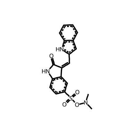 CN(C)OS(=O)(=O)c1ccc2c(c1)C(=Cc1cc3ccccc3[nH]1)C(=O)N2